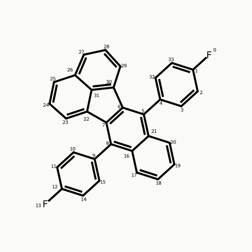 Fc1ccc(-c2c3c(c(-c4ccc(F)cc4)c4ccccc24)-c2cccc4cccc-3c24)cc1